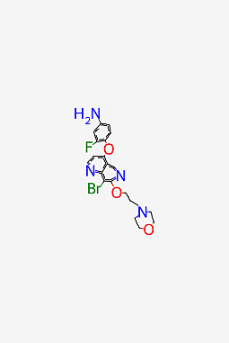 Nc1ccc(Oc2ccnc3c(Br)c(OCCCN4CCOCC4)ncc23)c(F)c1